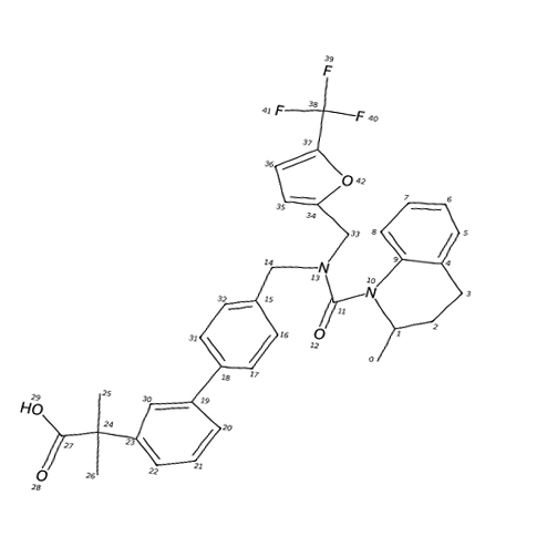 CC1CCc2ccccc2N1C(=O)N(Cc1ccc(-c2cccc(C(C)(C)C(=O)O)c2)cc1)Cc1ccc(C(F)(F)F)o1